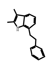 Cc1[nH]c2c(CCc3ccccc3)cccc2c1C